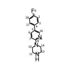 Fc1ccc(-c2ccc(N3CCNCC3)nc2)cc1